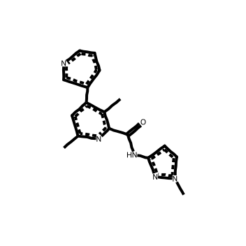 Cc1cc(-c2cccnc2)c(C)c(C(=O)Nc2ccn(C)n2)n1